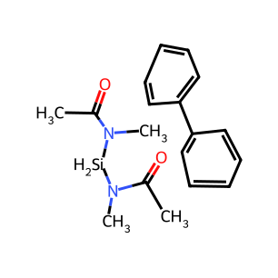 CC(=O)N(C)[SiH2]N(C)C(C)=O.c1ccc(-c2ccccc2)cc1